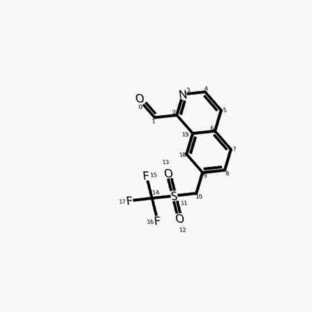 O=Cc1nccc2ccc(CS(=O)(=O)C(F)(F)F)cc12